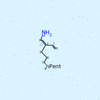 C=C/C(=C\N)CCCCCCCC